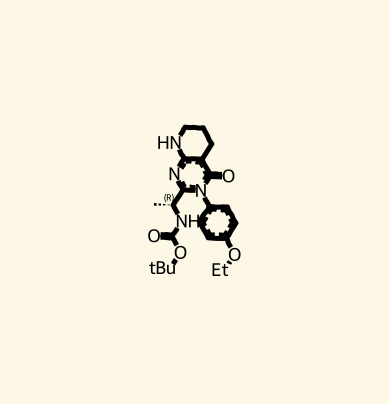 CCOc1ccc(-n2c([C@@H](C)NC(=O)OC(C)(C)C)nc3c(c2=O)CCCN3)cc1